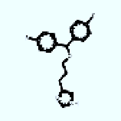 Fc1ccc(C(OCCCc2c[nH]cn2)c2ccc(F)cc2)cc1